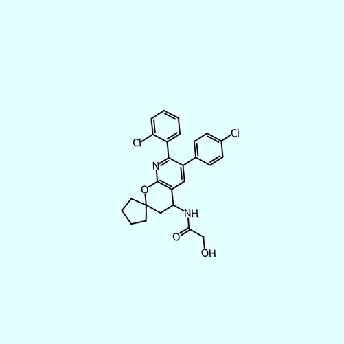 O=C(CO)NC1CC2(CCCC2)Oc2nc(-c3ccccc3Cl)c(-c3ccc(Cl)cc3)cc21